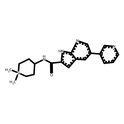 C[Si]1(C)CCC(NC(=O)c2cc3cc(-c4cccnc4)cnc3[nH]2)CC1